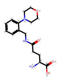 N[C@@H](CCC(=O)NCc1ccccc1N1CCOCC1)C(=O)O